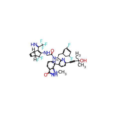 Cn1[nH]c(=O)c2cccc(-c3ccc(C#CC(C)(C)O)nc3[C@H](CC3=CC(F)=CC(F)C3)NC(=O)CNC3=C(C(=N)C(F)(F)F)[C@H]4C#C[C@H]4C3(F)F)c21